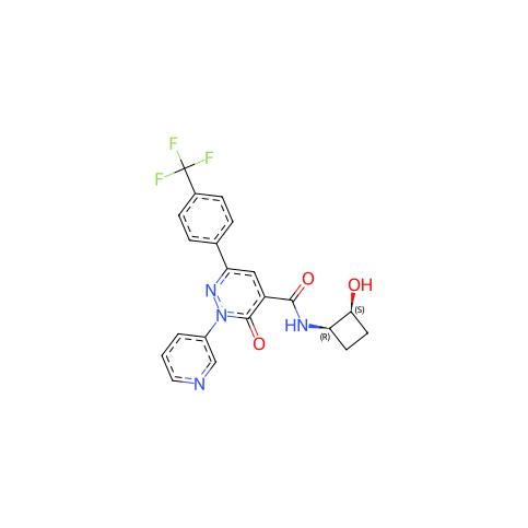 O=C(N[C@@H]1CC[C@@H]1O)c1cc(-c2ccc(C(F)(F)F)cc2)nn(-c2cccnc2)c1=O